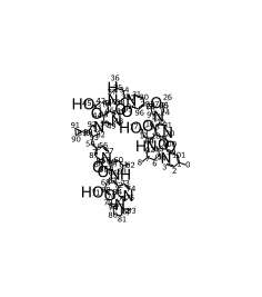 Cc1ccn([C@@H](CC(C)C)C(=O)N[C@@H](CC(=O)O)c2cncc(N3C[C@@H](C)O[C@@H](c4ccn(C(CC(C)C)C(=O)N[C@@H](CC(=O)O)c5cncc(N6CC(Cc7ccn([C@@H](CC(C)C)C(=O)N[C@@H](CC(=O)O)c8ccnc(N9[C@H](C)CC[C@@H]9C)c8)c(=O)c7)[C@H](C7CC7)C6)c5)c(=O)c4)C3)c2)c(=O)c1